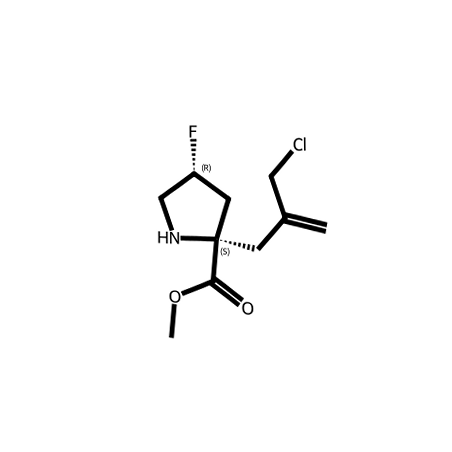 C=C(CCl)C[C@@]1(C(=O)OC)C[C@@H](F)CN1